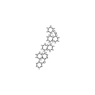 c1ccc2c(c1)Oc1ccc(-c3cccc4c(-c5ccc6c7c(cccc57)Oc5ccccc5-6)cccc34)c3cccc-2c13